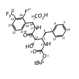 CC(C)(C)OC(=O)N[C@H](Cc1ccccc1)[C@H](O)C(=O)N[C@@H](C(=O)O)c1cccc(C(F)(F)F)c1F